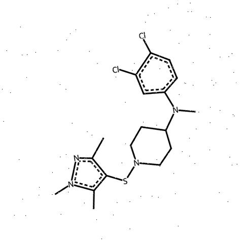 Cc1nn(C)c(C)c1SN1CCC(N(C)c2ccc(Cl)c(Cl)c2)CC1